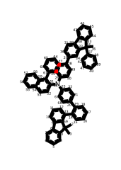 CC1(C)c2ccccc2-c2cccc(-c3ccccc3-c3ccc(N(c4ccc(-c5ccc6c(c5)C(C)(c5ccccc5)c5ccccc5-6)cc4)c4ccc5ccccc5c4-c4ccccc4)cc3)c21